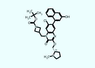 CN1CCC[C@H]1COc1nc2cc(-c3cc(O)cc4ccccc34)c(Cl)cc2n(CC2CN(C(=O)OC(C)(C)C)C2)c1=O